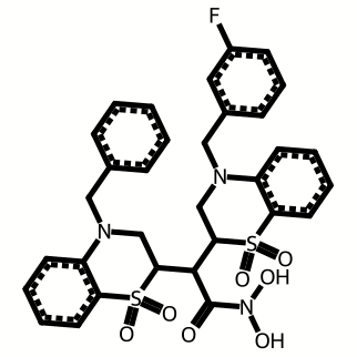 O=C(C(C1CN(Cc2ccccc2)c2ccccc2S1(=O)=O)C1CN(Cc2cccc(F)c2)c2ccccc2S1(=O)=O)N(O)O